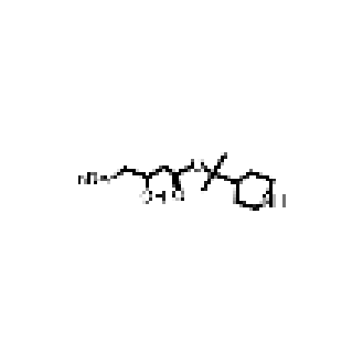 CCCCCCCCCCCC(O)CC(=O)OC(C)(C)C1CCNCC1